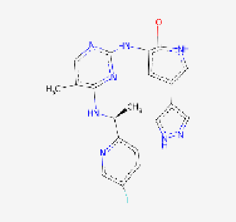 Cc1cnc(Nc2cc(-c3cn[nH]c3)c[nH]c2=O)nc1N[C@@H](C)c1ccc(F)cn1